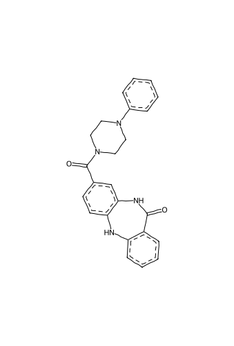 O=C1Nc2cc(C(=O)N3CCN(c4ccccc4)CC3)ccc2Nc2ccccc21